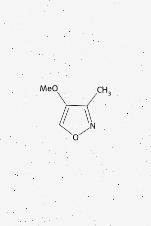 COc1conc1C